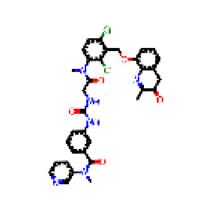 CC1=Nc2c(cccc2OCc2c(Cl)ccc(N(C)C(=O)CNC(=O)Nc3cccc(C(=O)N(C)c4cccnc4)c3)c2Cl)CC1=O